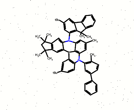 Cc1cc2c3c(c1)N(c1cc(C(C)(C)C)cc4c1C(C)(C)c1ccccc1-4)c1cc4c(cc1B3c1cc(C(C)(C)C)ccc1N2c1cc(-c2ccccc2)ccc1C)C(C)(C)CC4(C)C